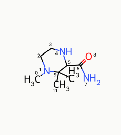 CN1CCNC(C(N)=O)C1(C)C